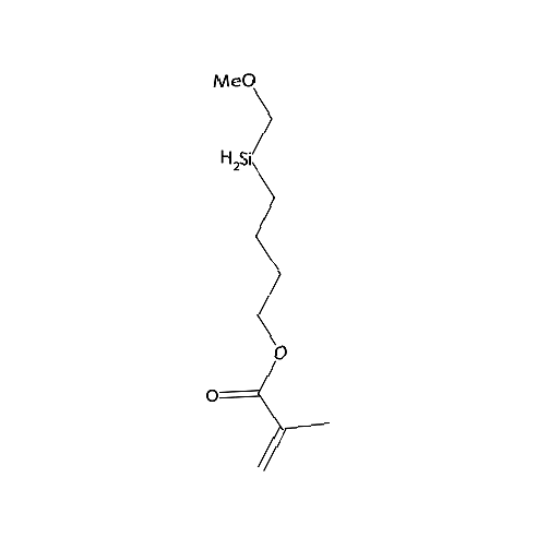 C=C(C)C(=O)OCCCC[SiH2]COC